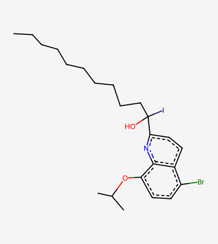 CCCCCCCCCCC(O)(I)c1ccc2c(Br)ccc(OC(C)C)c2n1